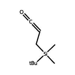 CC(C)(C)[Si](C)(C)CC=C=O